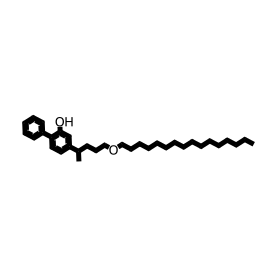 CCCCCCCCCCCCCCCCOCCCC(C)c1ccc(-c2ccccc2)c(O)c1